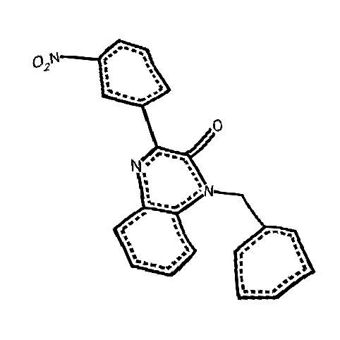 O=c1c(-c2cccc([N+](=O)[O-])c2)nc2ccccc2n1Cc1ccccc1